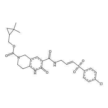 CC1(C)CC1COC(=O)N1CCc2[nH]c(=O)c(C(=O)NC/C=C/S(=O)(=O)c3ccc(Cl)cc3)cc2C1